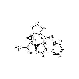 Cc1sc2nc(-c3ccccc3F)c(NC3CCCC3)n2c1C